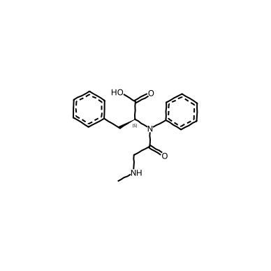 CNCC(=O)N(c1ccccc1)[C@@H](Cc1ccccc1)C(=O)O